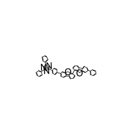 c1ccc(-c2ccc3c(c2)oc2c(-c4cccc5c4oc4cc(-c6ccc(-c7nc(-c8ccccc8)nc(-c8ccccc8)n7)cc6)ccc45)cccc23)cc1